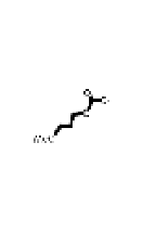 COCCCOC([O])=O